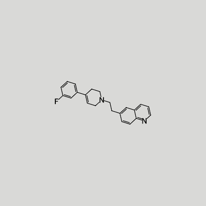 Fc1cccc(C2=CCN(CCc3ccc4ncccc4c3)CC2)c1